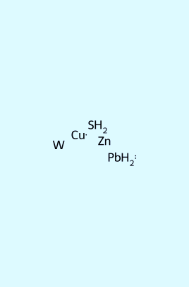 S.[Cu].[PbH2].[W].[Zn]